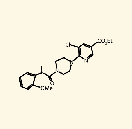 CCOC(=O)c1cnc(N2CCN(C(=O)Nc3ccccc3OC)CC2)c(Cl)c1